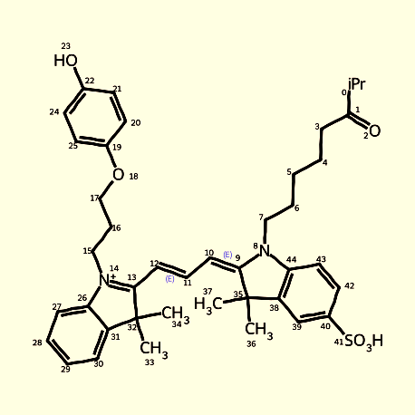 CC(C)C(=O)CCCCCN1/C(=C/C=C/C2=[N+](CCCOc3ccc(O)cc3)c3ccccc3C2(C)C)C(C)(C)c2cc(S(=O)(=O)O)ccc21